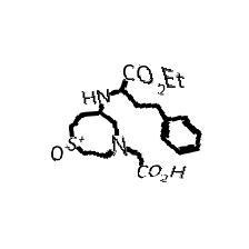 CCOC(=O)C(CCc1ccccc1)NC1CC[S+]([O-])CCN(CC(=O)O)C1